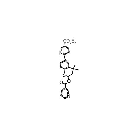 CCOC(=O)c1ccc(-c2ccc3c(c2)C(C)(C)C[C@@H](OC(=O)c2cccnc2)S3)nc1